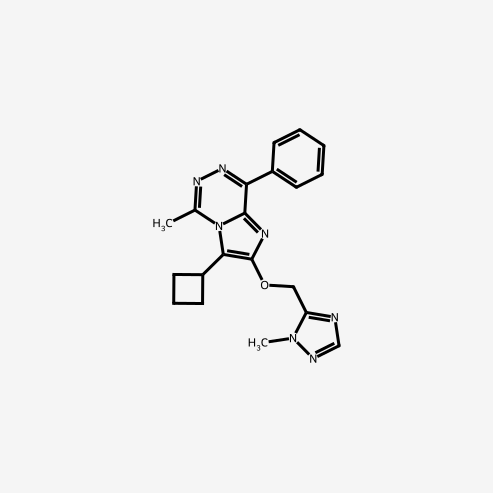 Cc1nnc(-c2ccccc2)c2nc(OCc3ncnn3C)c(C3CCC3)n12